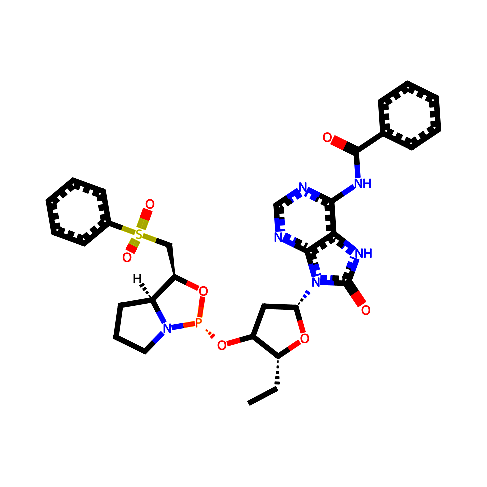 CC[C@H]1O[C@@H](n2c(=O)[nH]c3c(NC(=O)c4ccccc4)ncnc32)CC1O[P@@]1O[C@H](CS(=O)(=O)c2ccccc2)[C@@H]2CCCN21